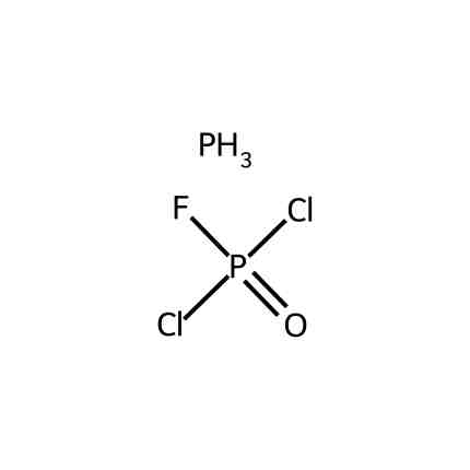 O=P(F)(Cl)Cl.P